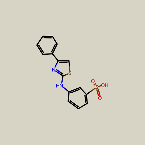 O=S(=O)(O)c1cccc(Nc2nc(-c3ccccc3)cs2)c1